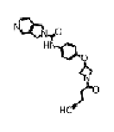 C#CCCC(=O)N1CC(Oc2ccc(NC(=O)N3Cc4ccncc4C3)cc2)C1